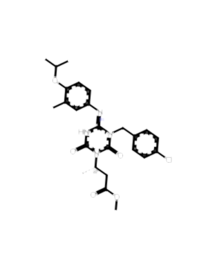 COC(=O)C[C@H](C)n1c(=O)[nH]/c(=N\c2ccc(OC(C)C)c(C)c2)n(Cc2ccc(Cl)cc2)c1=O